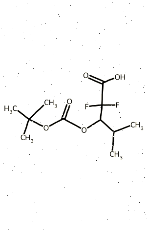 CC(C)C(OC(=O)OC(C)(C)C)C(F)(F)C(=O)O